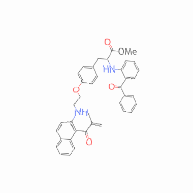 C=C(C)C(=O)c1c(NCCOc2ccc(CC(Nc3ccccc3C(=O)c3ccccc3)C(=O)OC)cc2)ccc2ccccc12